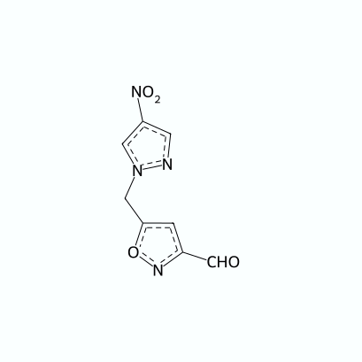 O=Cc1cc(Cn2cc([N+](=O)[O-])cn2)on1